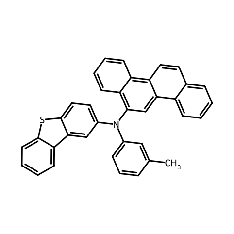 Cc1cccc(N(c2ccc3sc4ccccc4c3c2)c2cc3c4ccccc4ccc3c3ccccc23)c1